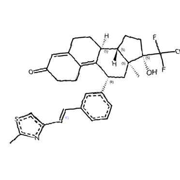 Cc1nc(/C=C/c2cccc([C@H]3C[C@@]4(C)[C@@H](CC[C@@]4(O)C(F)(F)C(F)(F)F)[C@@H]4CCC5=CC(=O)CCC5=C43)c2)cs1